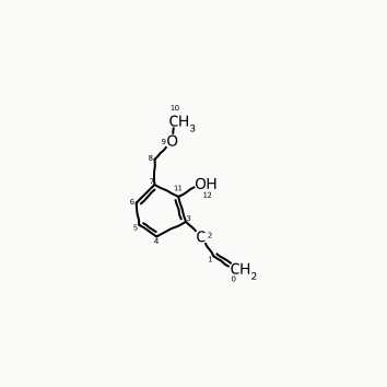 C=CCc1cccc(COC)c1O